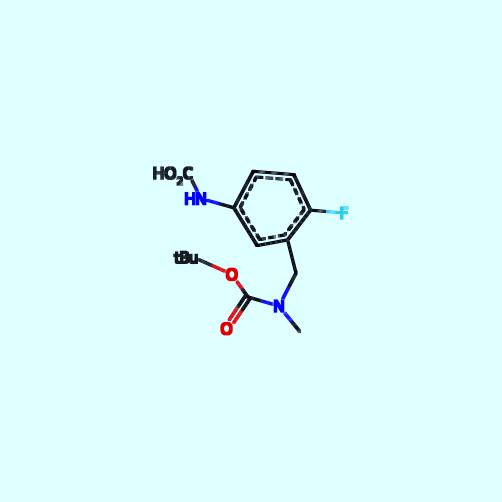 CN(Cc1cc(NC(=O)O)ccc1F)C(=O)OC(C)(C)C